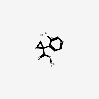 CC(C)(C)OC(=O)C1(c2ccccc2C(=O)O)CC1